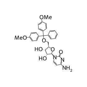 COc1ccc(C(OC[C@H]2O[C@@H](n3ccc(N)nc3=O)[C@H](O)[C@@H]2O)(c2ccccc2)c2ccc(OC)cc2)cc1